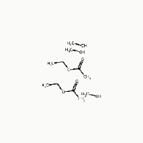 CCOC(C)=O.CCOC(C)=O.CO.CO.CO